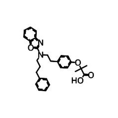 CC(C)(Oc1ccc(CCN(CCCc2ccccc2)c2nc3ccccc3o2)cc1)C(=O)O